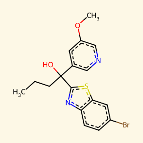 CCCC(O)(c1cncc(OC)c1)c1nc2ccc(Br)cc2s1